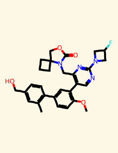 COc1ccc(-c2ccc(CO)cc2C)cc1-c1cnc(N2CC(F)C2)nc1CN1C(=O)OCC12CCC2